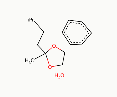 CC(C)CCC1(C)OCCO1.O.c1ccccc1